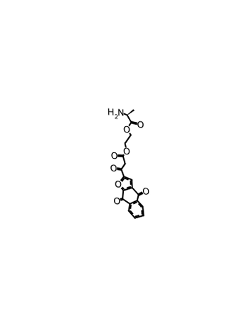 C[C@H](N)C(=O)OCCOC(=O)CC(=O)c1cc2c(o1)C(=O)c1ccccc1C2=O